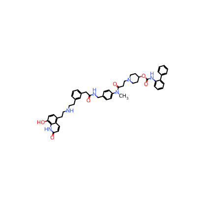 CN(C(=O)CCN1CCC(OC(=O)Nc2ccccc2-c2ccccc2)CC1)c1ccc(CNC(=O)Cc2cccc(CCNCCc3ccc(O)c4[nH]c(=O)ccc34)c2)cc1